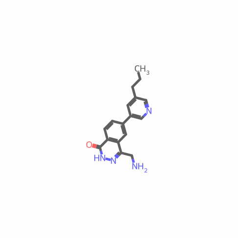 CCCc1cncc(-c2ccc3c(=O)[nH]nc(CN)c3c2)c1